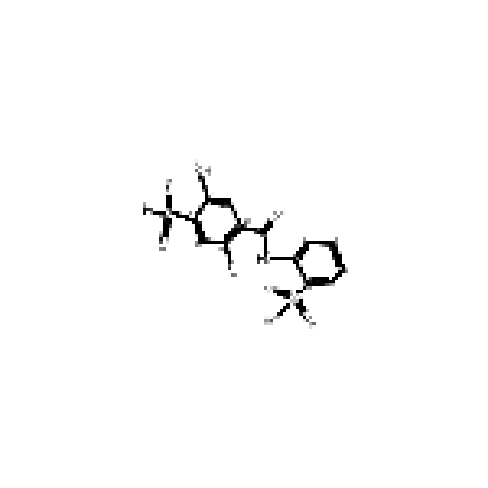 O=C(Nc1ccccc1S(=O)(=O)O)c1cc(O)c(S(=O)(=O)O)cc1O